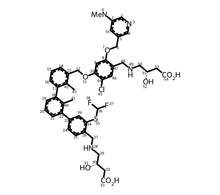 CNc1cncc(COc2cc(OCc3cccc(-c4cccc(-c5ccc(CNC[C@@H](O)CC(=O)O)c(SC(F)F)c5)c4C)c3C)c(Cl)cc2CNC[C@@H](O)CC(=O)O)c1